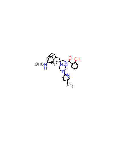 CC(CNC(=O)c1ccccc1O)(CC1C2CC3CC1CC(NC=O)(C3)C2)N1CCN(c2ccc(C(F)(F)F)cn2)CC1